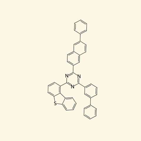 c1ccc(-c2cccc(-c3nc(-c4ccc5cc(-c6ccccc6)ccc5c4)nc(-c4cccc5sc6ccccc6c45)n3)c2)cc1